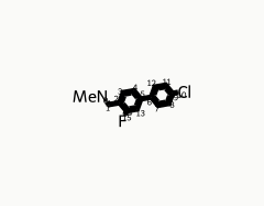 CNCc1ccc(-c2ccc(Cl)cc2)cc1F